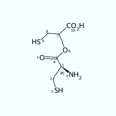 N[C@@H](CS)C(=O)OC(CS)C(=O)O